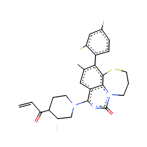 C=CC(=O)C1[C@H](C)CN(c2nc(=O)n3c4c(c(-c5ccc(F)cc5F)c(C(F)(F)F)cc24)SCCC3)C[C@@H]1C